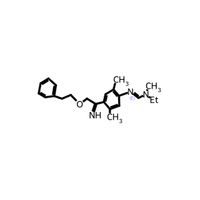 CCN(C)/C=N/c1cc(C)c(C(=N)COCCc2ccccc2)cc1C